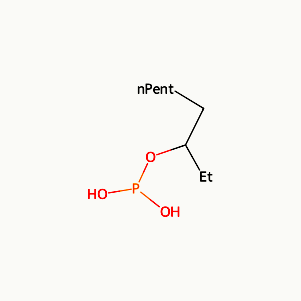 CCCCCCC(CC)OP(O)O